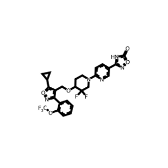 O=c1[nH]c(-c2ccc(N3CCC(OCc4c(-c5ccccc5OC(F)(F)F)noc4C4CC4)C(F)(F)C3)nc2)no1